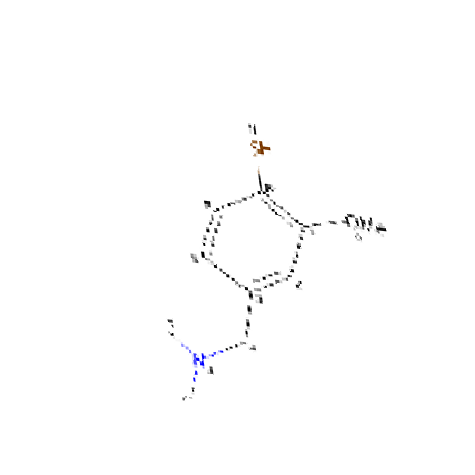 COc1cc(CN(C)C)ccc1S